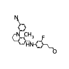 Cc1c(CNc2ccc(CCC=O)c(F)c2)ccc2c1N(c1cccc(C#N)c1)CCC2